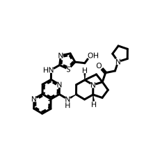 O=C(CN1CCCC1)C12CC[C@@H]3C[C@@H](Nc4nc(Nc5ncc(CO)s5)cc5ncccc45)C[C@H](C1)N32